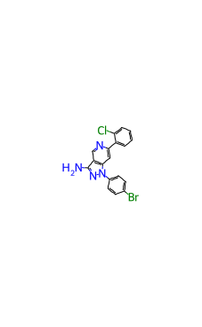 Nc1nn(-c2ccc(Br)cc2)c2cc(-c3ccccc3Cl)ncc12